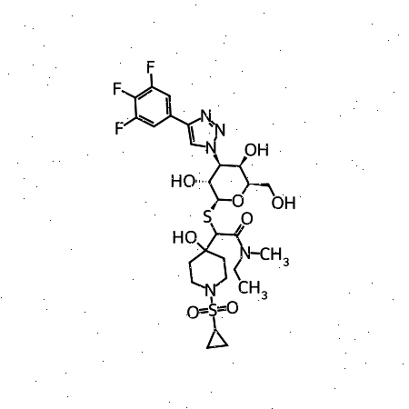 CCN(C)C(=O)C(S[C@@H]1O[C@H](CO)[C@H](O)[C@H](n2cc(-c3cc(F)c(F)c(F)c3)nn2)[C@H]1O)C1(O)CCN(S(=O)(=O)C2CC2)CC1